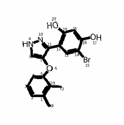 Cc1cccc(Oc2c[nH]nc2-c2cc(Br)c(O)cc2O)c1C